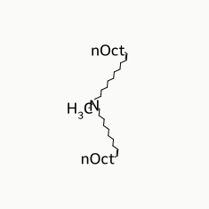 CCCCCCCC/C=C\CCCCCCCCCN(C)CCCCCCCC/C=C\CCCCCCCC